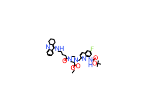 CCOC(=O)C1CN(C(=O)CCCCNc2c3c(nc4ccccc24)CCCC3)CCN1Cc1ccc2cc(F)cc(NC(=O)OC(C)(C)C)c2n1